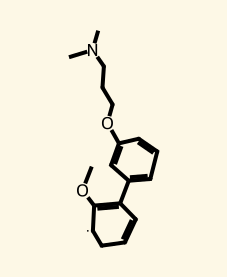 COC1=C(c2cccc(OCCCN(C)C)c2)C=CC[CH]1